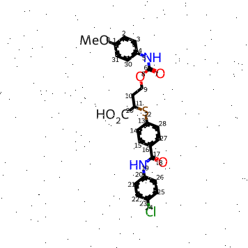 COc1ccc(NC(=O)OCCC(Sc2ccc(C(=O)Nc3ccc(Cl)cc3)cc2)C(=O)O)cc1